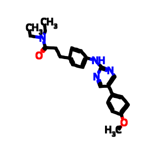 CCN(CC)C(=O)CCc1ccc(Nc2ncc(-c3ccc(OC)cc3)cn2)cc1